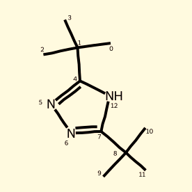 CC(C)(C)c1nnc(C(C)(C)C)[nH]1